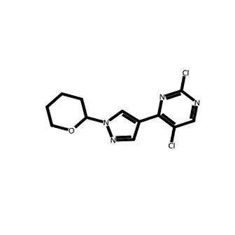 Clc1ncc(Cl)c(-c2cnn(C3CCCCO3)c2)n1